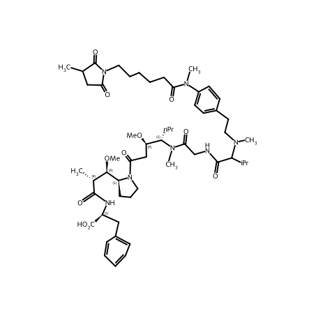 CCC[C@@H]([C@@H](CC(=O)N1CCC[C@H]1[C@H](OC)[C@@H](C)C(=O)N[C@@H](Cc1ccccc1)C(=O)O)OC)N(C)C(=O)CNC(=O)C(C(C)C)N(C)CCc1ccc(N(C)C(=O)CCCCCN2C(=O)CC(C)C2=O)cc1